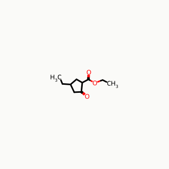 CCOC(=O)C1CC(CC)CC1=O